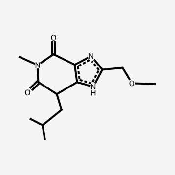 COCc1nc2c([nH]1)C(CC(C)C)C(=O)N(C)C2=O